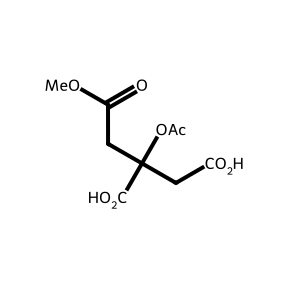 COC(=O)CC(CC(=O)O)(OC(C)=O)C(=O)O